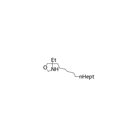 CCCCCCCCCCCCCC1(CC)COCN1